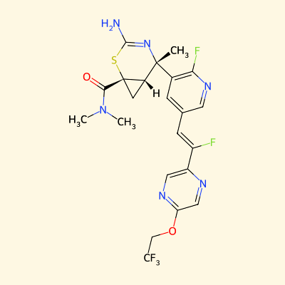 CN(C)C(=O)[C@]12C[C@H]1[C@@](C)(c1cc(/C=C(\F)c3cnc(OCC(F)(F)F)cn3)cnc1F)N=C(N)S2